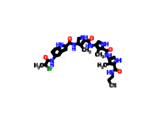 C=C(Br)C(=O)Nc1ccc2[nH]c(C(=O)Nc3c[nH]c(C(=O)Nc4c[nH]c(C(=O)Nc5c[nH]c(C(=O)NCCC#N)c5C)c4C)c3C)cc2c1